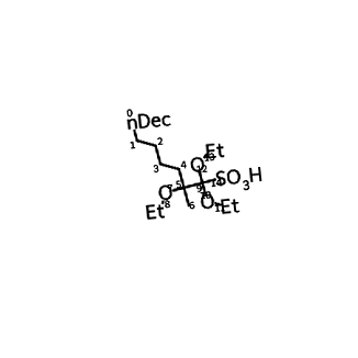 CCCCCCCCCCCCCCC(C)(OCC)C(OCC)(OCC)S(=O)(=O)O